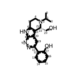 CC(C)N1CCc2[nH]c3nnc(-c4ccccc4O)cc3c2[C@H]1CO